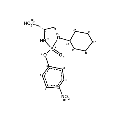 C[C@H](NP(=O)(Oc1ccc([N+](=O)[O-])cc1)OC1CCCCC1)C(=O)O